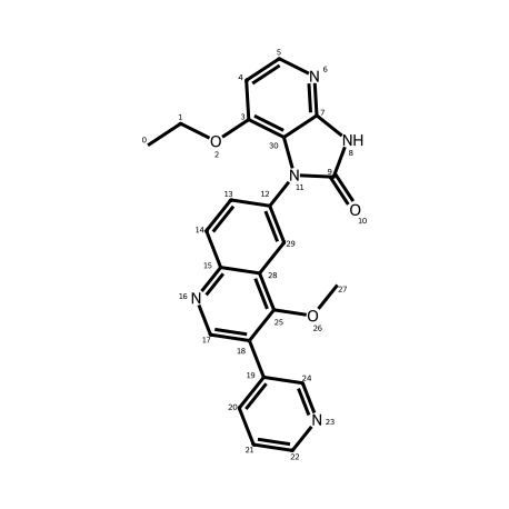 CCOc1ccnc2[nH]c(=O)n(-c3ccc4ncc(-c5cccnc5)c(OC)c4c3)c12